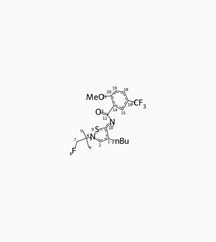 CCCCc1cn(C(C)(C)CF)s/c1=N\C(=O)c1cc(C(F)(F)F)ccc1OC